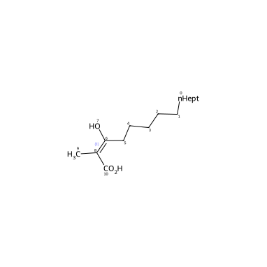 CCCCCCCCCCCC/C(O)=C(/C)C(=O)O